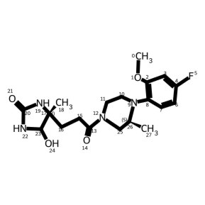 COc1cc(F)ccc1N1CCN(C(=O)CC[C@@]2(C)NC(=O)NC2O)C[C@@H]1C